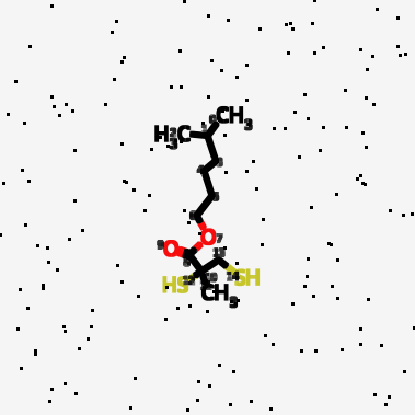 CC(C)CCCCOC(=O)C(C)(S)CS